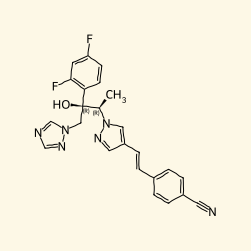 C[C@@H](n1cc(C=Cc2ccc(C#N)cc2)cn1)[C@](O)(Cn1cncn1)c1ccc(F)cc1F